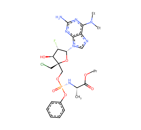 CCN(CC)c1nc(N)nc2c1ncn2[C@@H]1O[C@](CCl)(CO[P@@](=O)(N[C@@H](C)C(=O)OC(C)C)Oc2ccccc2)[C@@H](O)[C@@H]1F